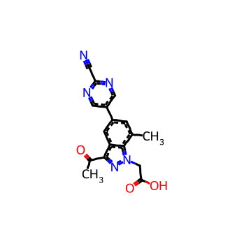 CC(=O)c1nn(CC(=O)O)c2c(C)cc(-c3cnc(C#N)nc3)cc12